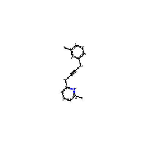 Cc1cccc(CC#CCc2cccc(C)n2)c1